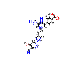 COc1cc(-n2cc(CCN3C[C@@H](c4ccc5c(c4C)COC5=O)N[C@@H](N)C3)cn2)ncc1C#N